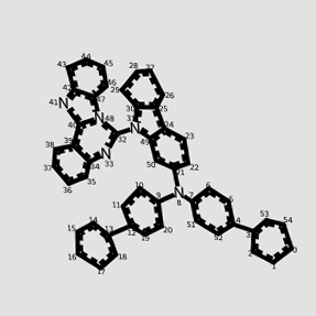 c1ccc(-c2ccc(N(c3ccc(-c4ccccc4)cc3)c3ccc4c5ccccc5n(-c5nc6ccccc6c6nc7ccccc7n56)c4c3)cc2)cc1